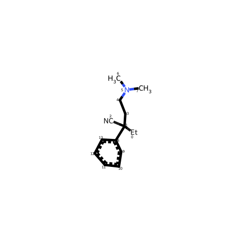 CCC(C#N)(CCN(C)C)c1ccccc1